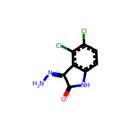 N/N=C1\C(=O)Nc2ccc(Cl)c(Cl)c21